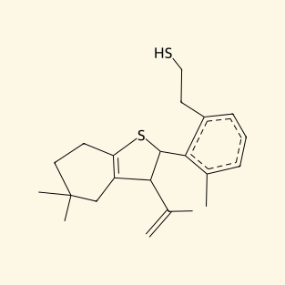 C=C(C)C1C2=C(CCC(C)(C)C2)SC1c1c(C)cccc1CCS